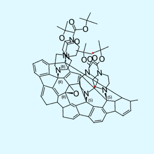 CC1C=CC2c3ccc4c5c3[C@]3(N6CCN(C(=O)OC(C)(C)C)CC6)C6=C7C89O[C@@]8%10C8=C%11C(=CCC8C8CC=C4C(=C8%10)[C@]75N4CCN(C(=O)OC(C)(C)C)CC4)c4cccc5c4[C@]%11(N4CCN(C(=O)OC(C)(C)C)CC4)C9=C6[C@@]5(N4CCN(C(=O)OC(C)(C)C)CC4)C1C23